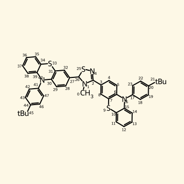 CN1C(c2ccc3c(c2)Sc2ccccc2N3c2ccc(C(C)(C)C)cc2)=NSC1c1ccc2c(c1)Sc1ccccc1N2c1ccc(C(C)(C)C)cc1